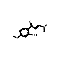 COc1ccc(C(=O)/C=C/N(C)C)c(O)c1